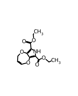 CCOC(=O)c1[nH]c(C(=O)OCC)c2c1OC=CCO2